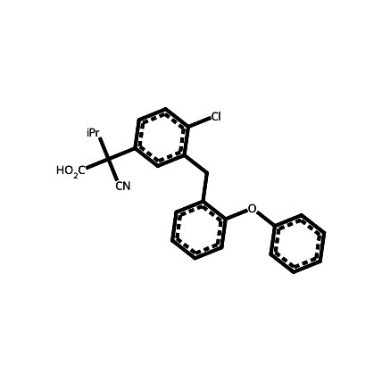 CC(C)C(C#N)(C(=O)O)c1ccc(Cl)c(Cc2ccccc2Oc2ccccc2)c1